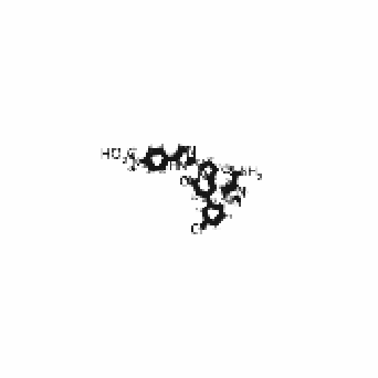 CN(C(=O)O)c1ccc(-c2cnc([C@@H]3CCc4cc(-c5cc(Cl)ccc5-n5cc(C(N)=O)nn5)cc(=O)n43)[nH]2)cc1